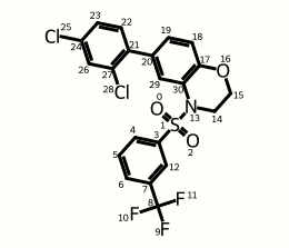 O=S(=O)(c1cccc(C(F)(F)F)c1)N1CCOc2ccc(-c3ccc(Cl)cc3Cl)cc21